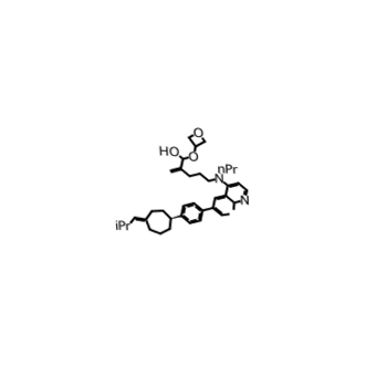 C=C(CCCN(CCC)C1=CC=NC(C)/C1=C\C(=C/C)c1ccc([C@H]2CCC/C(=C\C(C)C)CC2)cc1)C(O)OC1COC1